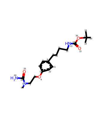 CN(CCOc1ccc(CCCCNC(=O)OC(C)(C)C)cc1)C(N)=O